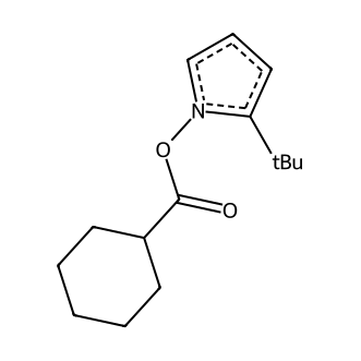 CC(C)(C)c1cccn1OC(=O)C1CCCCC1